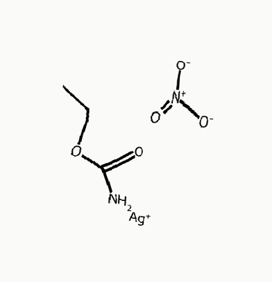 CCOC(N)=O.O=[N+]([O-])[O-].[Ag+]